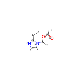 CCc1nccn1C(C)OC(C)=O